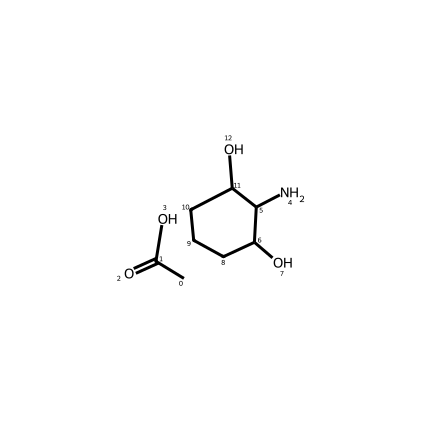 CC(=O)O.NC1C(O)CCCC1O